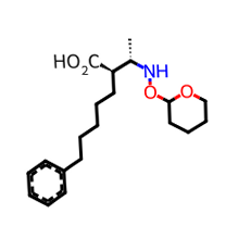 C[C@H](NOC1CCCCO1)[C@@H](CCCCCc1ccccc1)C(=O)O